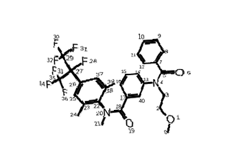 COCCN(C(=O)c1ccccc1)c1cccc(C(=O)N(C)c2c(C)cc(C(F)(C(F)(F)F)C(F)(F)F)cc2C)c1